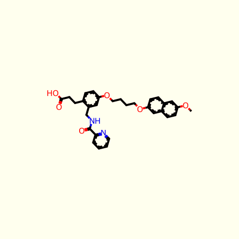 COc1ccc2cc(OCCCCOc3ccc(CCC(=O)O)c(CNC(=O)c4ccccn4)c3)ccc2c1